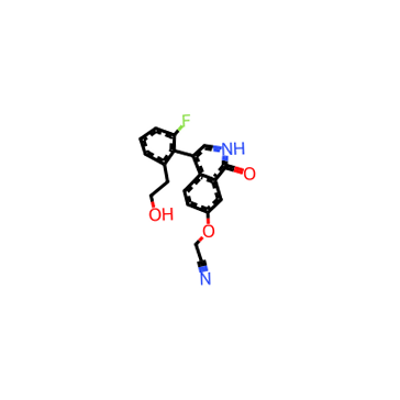 N#CCOc1ccc2c(-c3c(F)cccc3CCO)c[nH]c(=O)c2c1